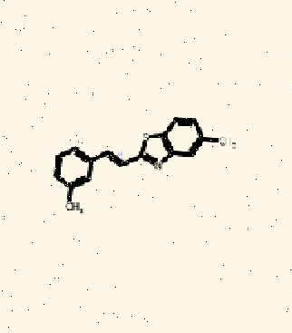 Cc1cccc(/C=C/c2nc3cc(C)ccc3s2)c1